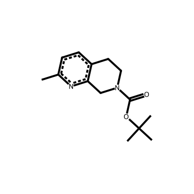 Cc1ccc2c(n1)CN(C(=O)OC(C)(C)C)CC2